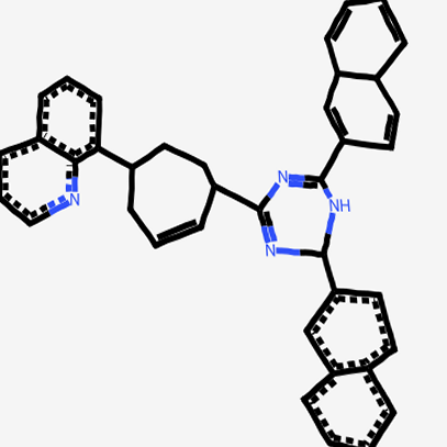 C1=CC2C=CC(C3=NC(C4C=CCC(c5cccc6cccnc56)CC4)=NC(c4ccc5ccccc5c4)N3)=CC2C=C1